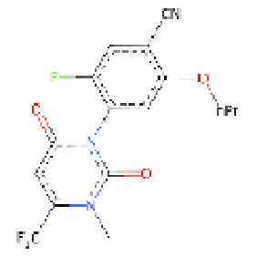 CCCOc1cc(-n2c(=O)cc(C(F)(F)F)n(C)c2=O)c(F)cc1C#N